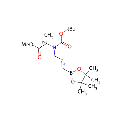 COC(=O)[C@H](C)N(C/C=C/B1OC(C)(C)C(C)(C)O1)C(=O)OC(C)(C)C